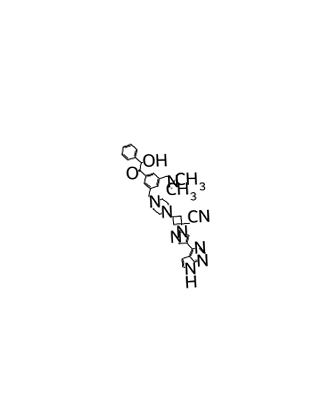 CN(C)Cc1cc(CN2CCN(C3CC(CC#N)(n4cc(-c5ncnc6[nH]ccc56)cn4)C3)CC2)cc(C(=O)C(O)c2ccccc2)c1